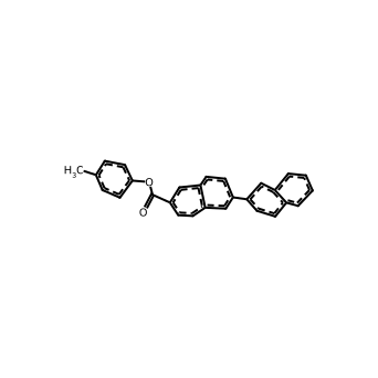 Cc1ccc(OC(=O)c2ccc3cc(-c4ccc5ccccc5c4)ccc3c2)cc1